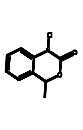 CC1OC(=O)N(Cl)c2ccccc21